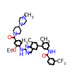 CCOc1cc(C(=O)N2CCC(N3CCN(C)CC3)CC2)ccc1Nc1ncc2cc(-c3cc(NC(=O)c4cccc(C(F)(F)F)c4)ccc3C)cc(C)c2n1